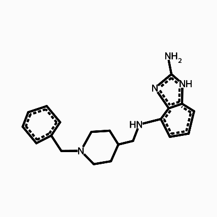 Nc1nc2c(NCC3CCN(Cc4ccccc4)CC3)cccc2[nH]1